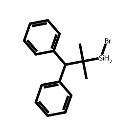 CC(C)([SiH2]Br)C(c1ccccc1)c1ccccc1